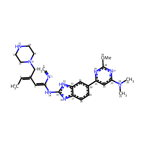 C=N/C(=C\C(=C/C)CN1CCNCC1)Nc1nc2ccc(-c3cc(N(C)C)nc(OC)n3)cc2[nH]1